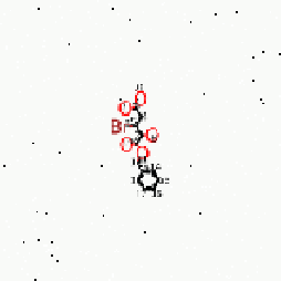 COC(=O)CC(Br)C(=O)C(=O)OCc1ccccc1